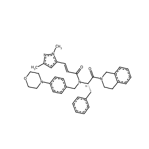 Cc1cc(C=CC(=O)N(Cc2ccc(N3CCOCC3)cc2)[C@@H](Cc2ccccc2)C(=O)N2CCc3ccccc3C2)n(C)n1